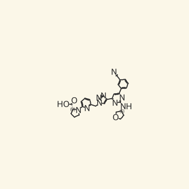 N#Cc1cccc(-c2cc(-c3cn(Cc4cccc(N5CCC[C@@H]5C(=O)O)n4)nn3)nc(N[C@H]3CCOC3)n2)c1